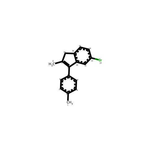 CC1=C(c2ccc(C)cc2)c2cc(Br)ccc2C1